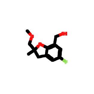 COCC1(C)Cc2cc(F)cc(CO)c2O1